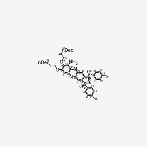 CCCCCCCCCCCCOc1cc2nc3cc(S(=O)(=O)c4ccc(C)cc4)c(S(=O)(=O)c4ccc(C)cc4)cc3nc2c(N)c1OCCCCCCCCCCCC